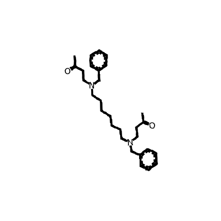 CC(=O)CCN(CCCCCCCN(CCC(C)=O)Cc1ccccc1)Cc1ccccc1